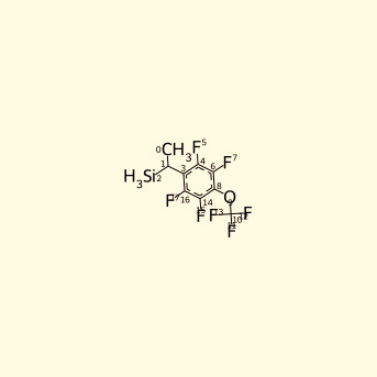 CC([SiH3])c1c(F)c(F)c(OC(F)(F)F)c(F)c1F